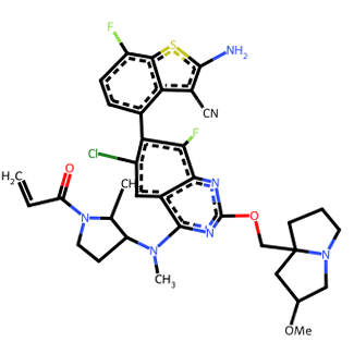 C=CC(=O)N1CCC(N(C)c2nc(OCC34CCCN3CC(OC)C4)nc3c(F)c(-c4ccc(F)c5sc(N)c(C#N)c45)c(Cl)cc23)C1C